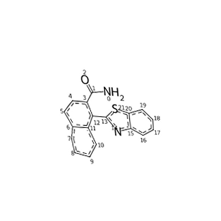 NC(=O)c1ccc2ccccc2c1-c1nc2ccccc2s1